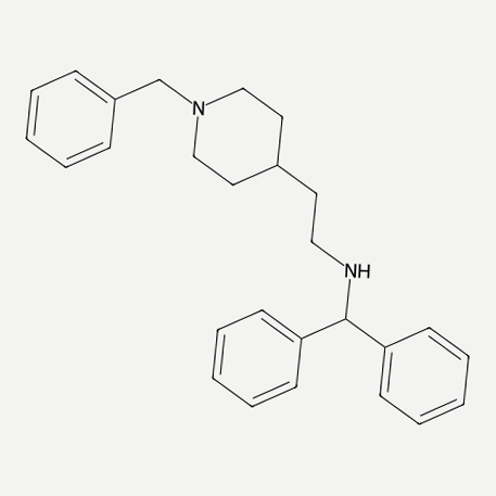 c1ccc(CN2CCC(CCNC(c3ccccc3)c3ccccc3)CC2)cc1